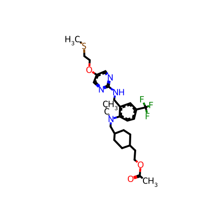 CCN(CC1CCC(CCOC(C)=O)CC1)c1ccc(C(F)(F)F)cc1CNc1ncc(OCCSC)cn1